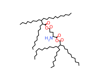 CCCCCCCCCCCC(CCCCCCCC)C(CCCCCCCCCC)C(=O)OC(=O)CCC(N)C(=O)OC(=O)C(CCCCCCCCCC)C(CCCCCCCC)CCCCCCCCCCC